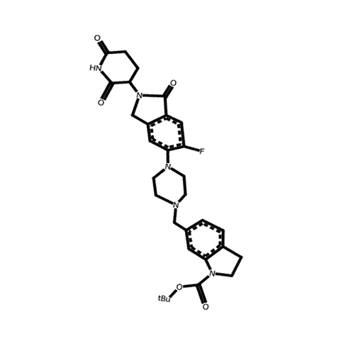 CC(C)(C)OC(=O)N1CCc2ccc(CN3CCN(c4cc5c(cc4F)C(=O)N(C4CCC(=O)NC4=O)C5)CC3)cc21